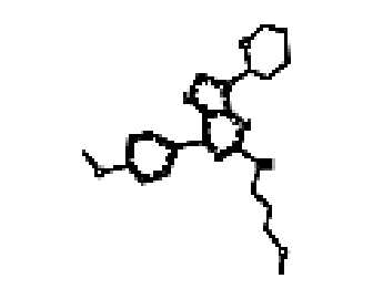 COCCCNc1nc(-c2ccc(OC)cc2)c2ncn(C3CCCCO3)c2n1